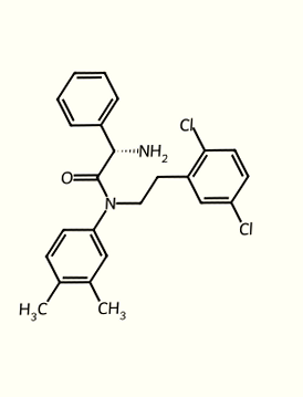 Cc1ccc(N(CCc2cc(Cl)ccc2Cl)C(=O)[C@@H](N)c2ccccc2)cc1C